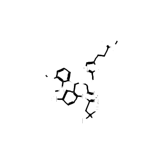 COC(=O)CCc1cnc(C[C@H]2S[C@H](c3cccc(OC)c3OC)c3cc(Cl)ccc3-n3c(CC(F)(F)F)nnc32)s1